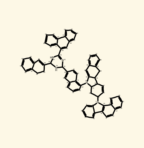 C1=CC(n2c3ccccc3c3ccc4ccccc4c32)CC2C1C1Cc3ccccc3C=C1N2c1cccc2cc(C3N=C(c4cc5ccccc5c5ccccc45)NC(C4=Cc5ccccc5CC4)N3)ccc12